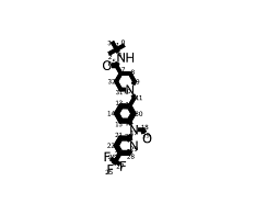 CC(C)(C)NC(=O)C1CCN(Cc2cccc(N(C=O)c3ccc(C(F)(F)F)cn3)c2)CC1